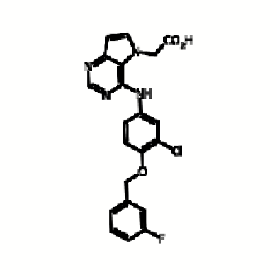 O=C(O)Cn1ccc2ncnc(Nc3ccc(OCc4cccc(F)c4)c(Cl)c3)c21